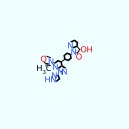 C[C@@H]1COCCN1c1cc(-c2ccc(N3C(=O)C(O)c4cccnc43)cc2)c2cnn(-c3cc[nH]n3)c2n1